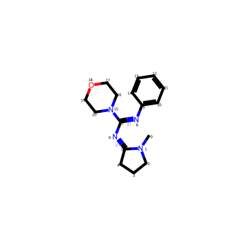 CN1CCC/C1=N/C(=N/c1ccccc1)N1CCOCC1